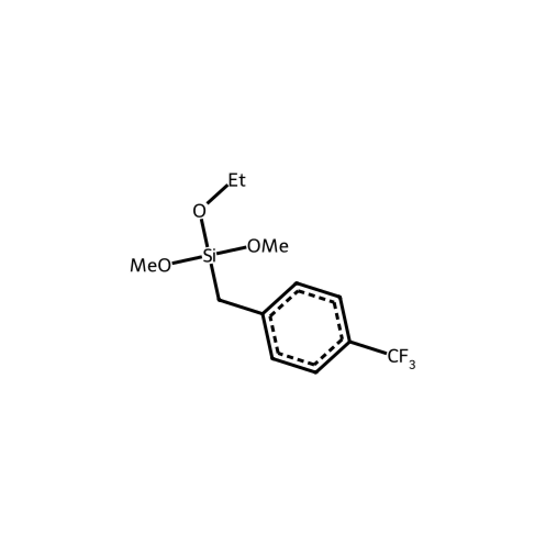 CCO[Si](Cc1ccc(C(F)(F)F)cc1)(OC)OC